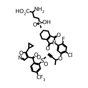 C#CC(C)Oc1cc(N2C(=O)C3=C(CCCC3)C2=O)c(F)cc1Cl.CP(=O)(O)CCC(N)C(=O)O.CS(=O)(=O)c1cc(C(F)(F)F)ccc1C(=O)c1cnoc1C1CC1